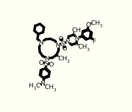 COc1cc(F)cc(N2[C@@H](C)CN(S(=O)(=O)N3CCCN(CC4CCCCC4)CCCN(S(=O)(=O)c4ccc(N(C)C)cc4)C[C@H](C)C3)C[C@@H]2C)c1